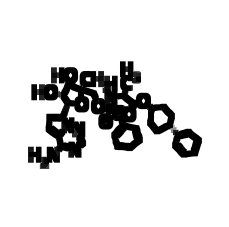 C[C@H](NP(=O)(OC[C@@]1(C)O[C@@H](c2ccc3c(N)ncnn23)[C@H](O)[C@@H]1O)Oc1ccccc1)C(=O)O[C@H]1CC[C@H](c2ccccc2)CC1